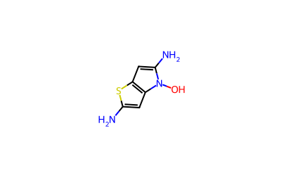 Nc1cc2c(cc(N)n2O)s1